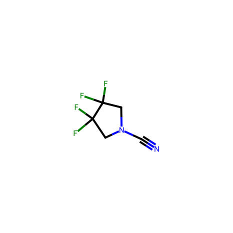 N#CN1CC(F)(F)C(F)(F)C1